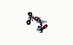 C=C/C(=C\C=C(/BC)c1n/c(=C/C(=C\C)c2nc(-c3ccccc3)nc(-c3ccccc3)n2)c(=C)s1)n1c(/C=B\C)c(/C=C\C)c2ccccc21